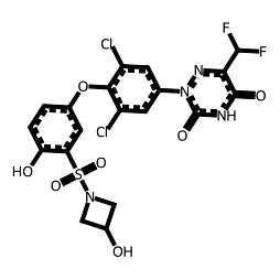 O=c1[nH]c(=O)n(-c2cc(Cl)c(Oc3ccc(O)c(S(=O)(=O)N4CC(O)C4)c3)c(Cl)c2)nc1C(F)F